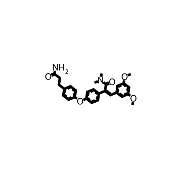 COc1cc(/C=C(\C(=O)N(C)C)c2ccc(Oc3ccc(CCC(N)=O)cc3)cc2)cc(OC)c1